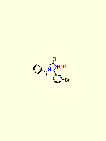 CC(c1ccccc1)N1CC(=O)N(O)C1c1cccc(Br)c1